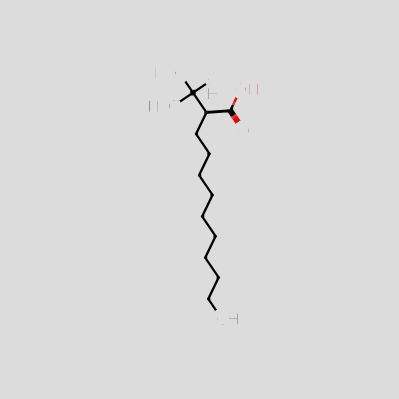 CCCCCCCCCCC(C(=O)O)C(C)(C)C